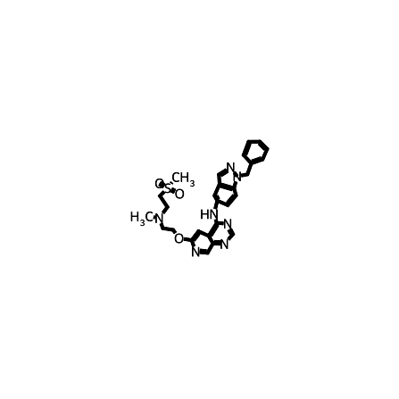 CN(CCOc1cc2c(Nc3ccc4c(cnn4Cc4ccccc4)c3)ncnc2cn1)CCS(C)(=O)=O